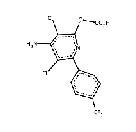 Nc1c(Cl)c(OC(=O)O)nc(-c2ccc(C(F)(F)F)cc2)c1Cl